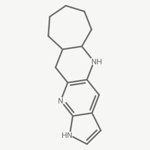 c1cc2cc3c(nc2[nH]1)CC1CCCCCC1N3